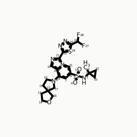 CC1(NS(=O)(=O)c2cc(N3CCC4(CCOC4)C3)c3cnc(-c4nnc(C(F)F)s4)n3c2)CC1